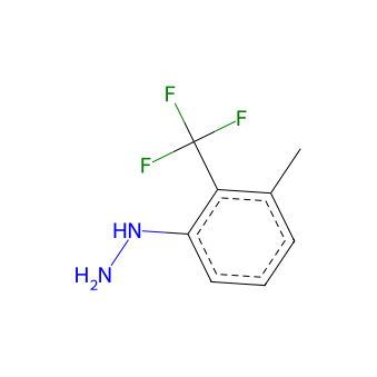 Cc1cccc(NN)c1C(F)(F)F